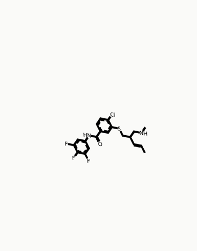 CC=CC(CNC)CSc1cc(C(=O)Nc2cc(F)c(F)c(F)c2)ccc1Cl